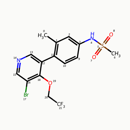 Cc1cc(NS(C)(=O)=O)ccc1-c1cncc(Br)c1OCC(F)(F)F